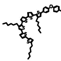 CCCCCCc1ccc(-c2ccc(-c3cc(CCCCCC)c(-c4ccc(-c5ccc(-c6sc(-c7ccc(Oc8ccc(C)cc8)cc7)cc6CCCCCC)s5)s4)s3)s2)s1